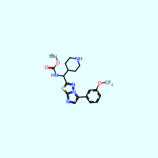 CC(C)(C)OC(=O)NC(c1nn2c(-c3cccc(OC(F)(F)F)c3)cnc2s1)C1CCNCC1